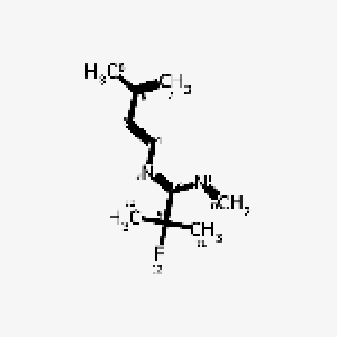 C=N/C(=N\C=C\C(=C)C)C(C)(C)F